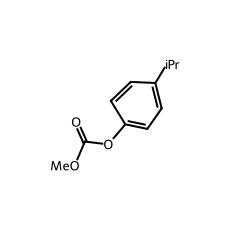 COC(=O)Oc1ccc(C(C)C)cc1